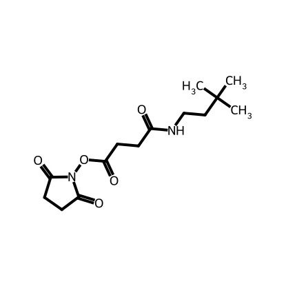 CC(C)(C)CCNC(=O)CCC(=O)ON1C(=O)CCC1=O